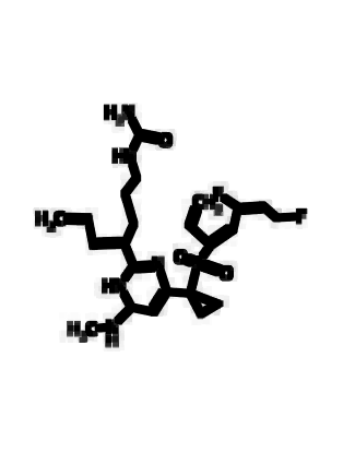 C=C/C=C(\CCCNC(N)=O)C1=NC(C2(S(=O)(=O)/C(C=C)=C/C(F)=C\CF)CC2)=CC(NC)N1